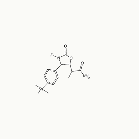 CC(C(N)=O)C1OC(=O)N(F)C1c1cc[c]([Sn]([CH3])([CH3])[CH3])cc1